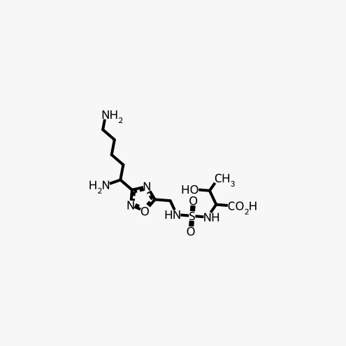 CC(O)C(NS(=O)(=O)NCc1nc(C(N)CCCCN)no1)C(=O)O